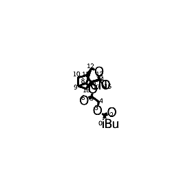 CCC(C)C(=O)OCC(=O)OC1C2CC3C1OC(=O)C3(C#N)C2